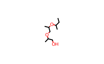 CCC(C)OC(C)COC(C)CO